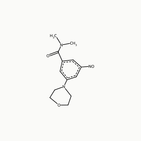 CN(C)C(=O)c1cc(N=O)cc(N2CCOCC2)c1